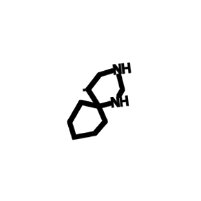 [CH]1CNCNC12CCCCC2